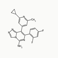 Cc1cc(-c2c(-c3ccc(F)cc3F)nc(N)n3cnnc23)cc(C2CC2)n1